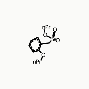 CCCOc1ccccc1CS(=O)(=O)OCCC